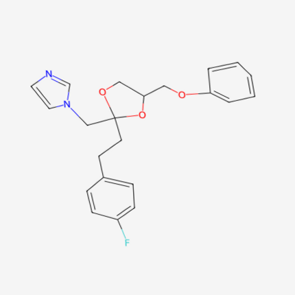 Fc1ccc(CCC2(Cn3ccnc3)OCC(COc3ccccc3)O2)cc1